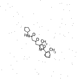 Cc1ccccc1-c1nc(CC(=O)CC(=O)NC2CCCC2)c(C)o1